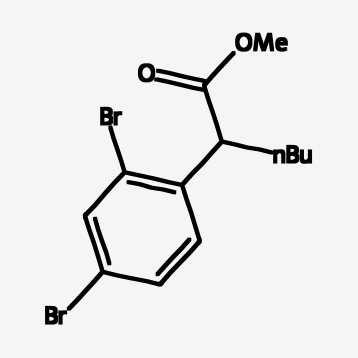 CCCCC(C(=O)OC)c1ccc(Br)cc1Br